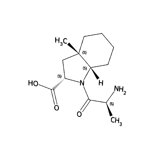 C[C@H](N)C(=O)N1[C@H]2CCCC[C@@]2(C)C[C@H]1C(=O)O